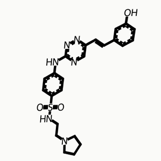 O=S(=O)(NCCN1CCCC1)c1ccc(Nc2ncc(C=Cc3cccc(O)c3)nn2)cc1